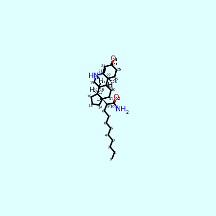 CCCCCCCCCC(C(N)=O)[C@@]12CCC[C@H]1[C@@H]1CNC3=CC(=O)CC[C@]3(C)[C@H]1CC2